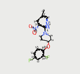 Cc1cnc(N2CCC(Oc3ccc(F)cc3F)CC2)c([N+](=O)[O-])c1